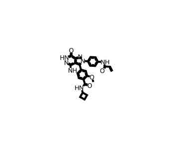 C=CC(=O)Nc1ccc(-n2nc3c(=O)[nH]nc(N)c3c2-c2ccc(C(=O)NC3CCC3)c(OC)c2)cc1